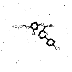 CCCCC(Oc1ccc(OCC(=O)O)c(CC)c1)c1cccc(-c2ccc(C#N)cc2)n1